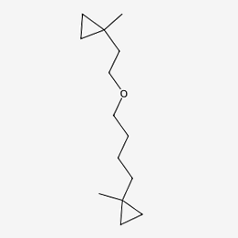 CC1(CCCCOCCC2(C)CC2)CC1